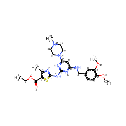 CCOC(=O)c1sc(Nc2nc(NCc3ccc(OC)c(OC)c3)cc(N3CCN(C)CC3)n2)nc1C